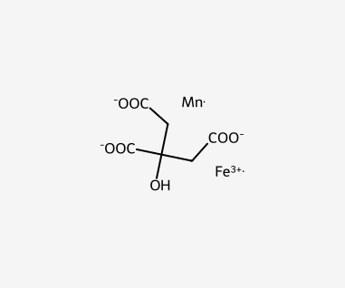 O=C([O-])CC(O)(CC(=O)[O-])C(=O)[O-].[Fe+3].[Mn]